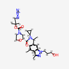 Cc1cc(C(C)N(C(=O)[C@H]2CN(C(=O)OC(C)(C)CN=[N+]=[N-])CCO2)C2CC2)cc2c1c(C)nn2CCCO